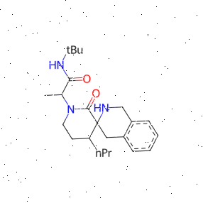 CCCC1CCN(C(C)C(=O)NC(C)(C)C)C(=O)C12Cc1ccccc1CN2